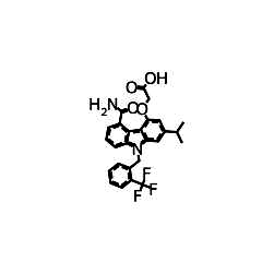 CC(C)c1cc(OCC(=O)O)c2c3c(C(N)=O)cccc3n(Cc3ccccc3C(F)(F)F)c2c1